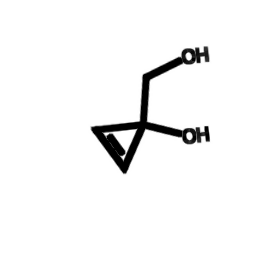 OCC1(O)C=C1